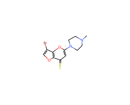 CN1CCN(c2cc(=S)c3occ(Br)c3o2)CC1